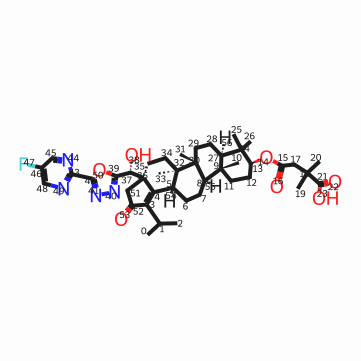 CC(C)C1=C2[C@H]3CC[C@@H]4[C@@]5(C)CC[C@H](OC(=O)CC(C)(C)C(=O)O)C(C)(C)[C@@H]5CC[C@@]4(C)[C@]3(C)CC[C@@]2([C@@H](O)c2nnc(-c3ncc(F)cn3)o2)CC1=O